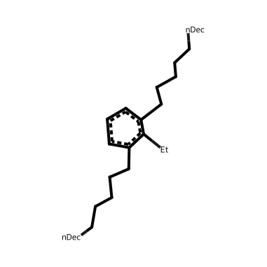 [CH2]Cc1c(CCCCCCCCCCCCCCC)cccc1CCCCCCCCCCCCCCC